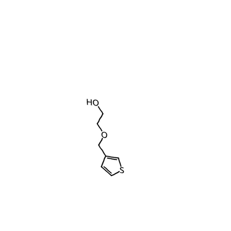 OCCOCc1ccsc1